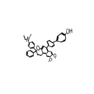 CCN(C)c1ccc(C2(c3ccccc3)C=Cc3c(cc(-c4ccc(-c5ccc(O)cc5)cc4)c4cc(OC)c(OC)cc34)O2)cc1